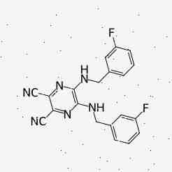 N#Cc1nc(NCc2cccc(F)c2)c(NCc2cccc(F)c2)nc1C#N